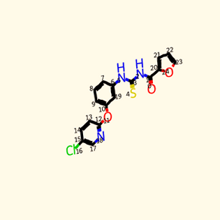 O=C(NC(=S)Nc1cccc(Oc2ccc(Cl)cn2)c1)c1ccco1